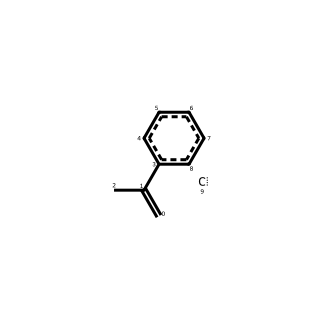 C=C(C)c1ccccc1.[C]